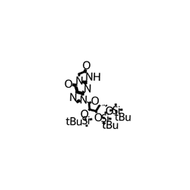 CC(C)(C)[Si](C)(C)OC[C@H]1O[C@@H](n2cnc3c(=O)n4c(nc32)NC(=O)C4)C(O[Si](C)(C)C(C)(C)C)C1O[Si](C)(C)C(C)(C)C